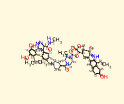 CCNC(=O)c1nnc(-c2cc(C(C)C)c(O)cc2O)n1-c1ccc(CN2CCC(C(=O)N3CCN(C(=O)O[C@@H]4C(=O)OCC5=C4C=C4c6cc7ccc(O)cc7c(CC)c6NC4C5=O)C(C)C3)CC2)cc1